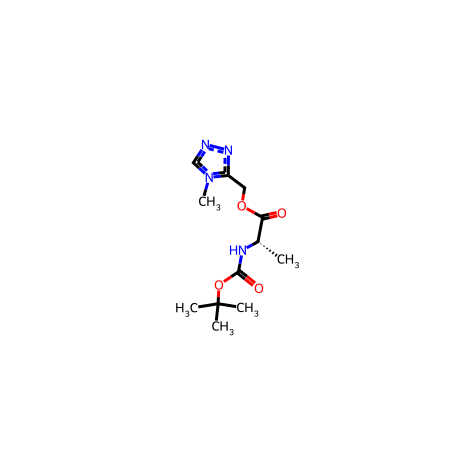 C[C@H](NC(=O)OC(C)(C)C)C(=O)OCc1nncn1C